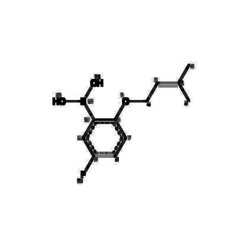 CC(C)=CCOc1ccc(F)cc1B(O)O